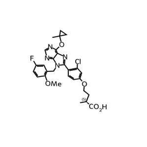 COc1ccc(F)cc1Cn1c(-c2ccc(OCC[C@H](C)C(=O)O)cc2Cl)nc2c(OC3(C)CC3)ncnc21